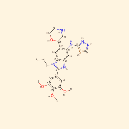 CCCn1c(-c2cc(OC)c(OC)c(OC)c2)nc2cc(Nc3nncs3)c(C3CNCCO3)cc21